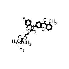 Cc1ccccc1C(=O)c1ccc(N(C(=O)OCCOC(=O)C(C)(C)C)c2ccc(F)cc2C)cc1Cl